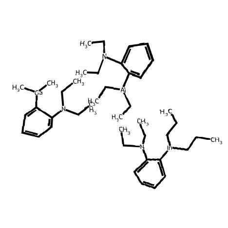 CCN(CC)c1cccc[c]1[Al]([CH2]C)[CH2]C.CCN(CC)c1cccc[c]1[Ga]([CH3])[CH3].CC[CH2][In]([CH2]CC)[c]1ccccc1N(CC)CC